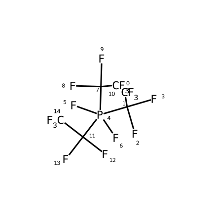 FC(F)(F)C(F)(F)P(F)(F)(C(F)(F)C(F)(F)F)C(F)(F)C(F)(F)F